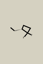 CC[C@@H]1CCC1(F)F